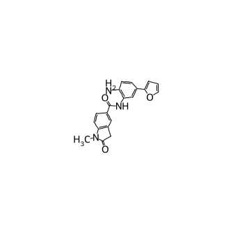 CN1C(=O)Cc2cc(C(=O)Nc3cc(-c4ccco4)ccc3N)ccc21